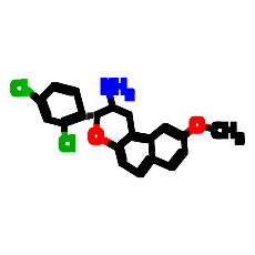 COc1ccc2ccc3c(c2c1)CC(N)[C@@H](c1ccc(Cl)cc1Cl)O3